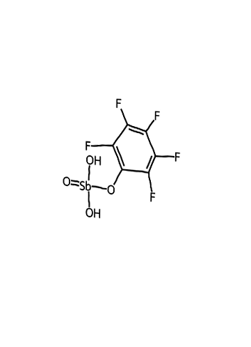 [O]=[Sb]([OH])([OH])[O]c1c(F)c(F)c(F)c(F)c1F